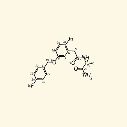 C[C@H](NC(=O)Cc1cc(OCc2ccc(F)cc2)ccc1I)C(N)=O